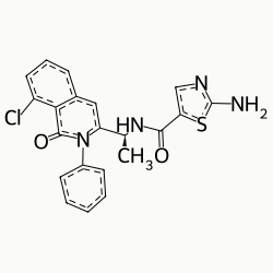 C[C@H](NC(=O)c1cnc(N)s1)c1cc2cccc(Cl)c2c(=O)n1-c1ccccc1